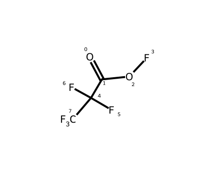 O=C(OF)C(F)(F)C(F)(F)F